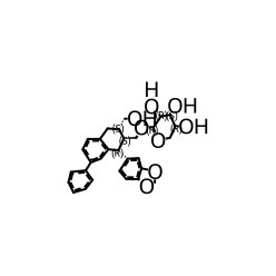 OC[C@H]1Cc2ccc(-c3ccccc3)cc2[C@@H](c2ccc3c(c2)OCO3)[C@@H]1CO[C@@H]1OC[C@@H](O)[C@H](O)[C@H]1O